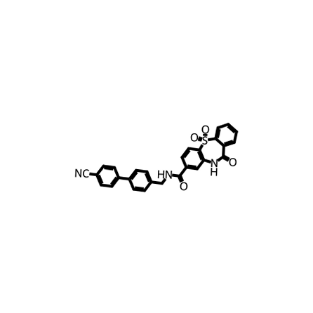 N#Cc1ccc(-c2ccc(CNC(=O)c3ccc4c(c3)NC(=O)c3ccccc3S4(=O)=O)cc2)cc1